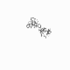 Cn1ccnc1-c1ccn2c([C@H]3CCC[C@@H](Nc4ncc(C(F)(F)F)c(OC5COC5)n4)C3)nnc2c1